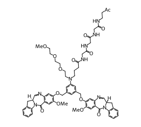 COCCOCCOCCN(CCCC(=O)NCC(=O)NCC(=O)NCC(=O)NCCC(C)=O)c1cc(COc2cc3c(cc2OC)C(=O)N2c4ccccc4C[C@H]2C=N3)cc(COc2cc3c(cc2OC)C(=O)N2c4ccccc4C[C@H]2C=N3)c1